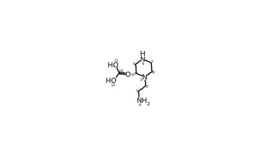 NCCN1CCNCC1.O=C(O)O